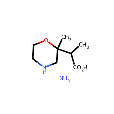 CC(C(=O)O)C1(C)CNCCO1.N